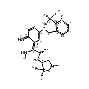 CN/C(C(=O)NC1CN(C)CC1(F)F)=C1/C=C(OCc2cccnc2C(F)(F)F)C=CC1=N